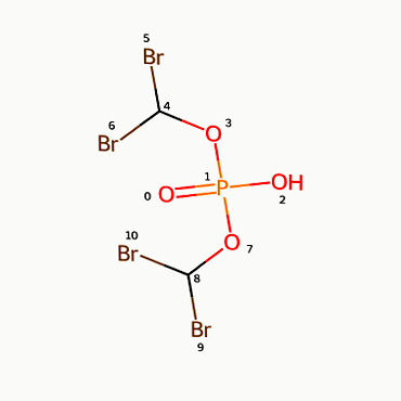 O=P(O)(OC(Br)Br)OC(Br)Br